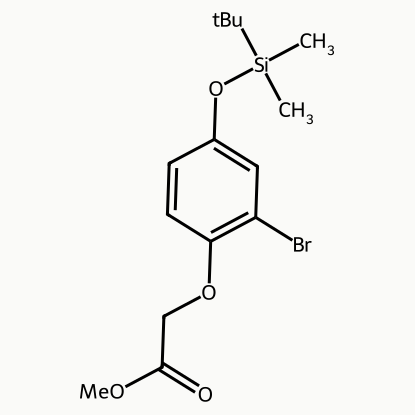 COC(=O)COc1ccc(O[Si](C)(C)C(C)(C)C)cc1Br